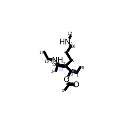 C/C=C(OC(C)=O)\C(CCCNC)=C(/C)NCC